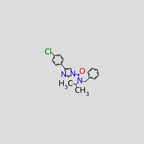 CC(C)N(Cc1ccccc1)C(=O)n1cnc(-c2ccc(Cl)cc2)c1